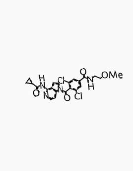 COCCNC(=O)c1cc(Cl)c(C(=O)n2ccc3c(NC(=O)C4CC4)nccc32)c(Cl)c1